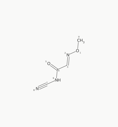 CON=CC(=O)NC#N